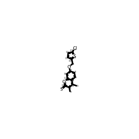 Cc1c(C)c2ccc(OCc3ccc(Cl)s3)cc2oc1=S